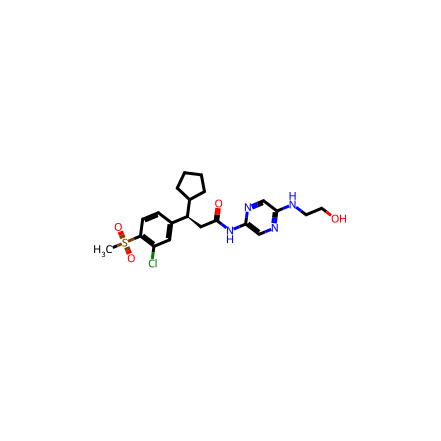 CS(=O)(=O)c1ccc([C@H](CC(=O)Nc2cnc(NCCO)cn2)C2CCCC2)cc1Cl